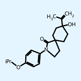 C=C(C)C1(O)CCC2(CCN(c3ccc(OC(C)C)cc3)C2=O)CC1